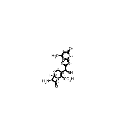 Cc1cc(=O)nc2sc(C(S)C3=C(C(=O)O)N4C(=O)[C@@H](N)[C@H]4SC3)nn12